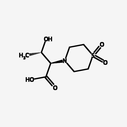 C[C@H](O)[C@H](C(=O)O)N1CCS(=O)(=O)CC1